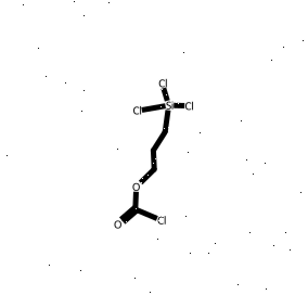 O=C(Cl)OCCC[Si](Cl)(Cl)Cl